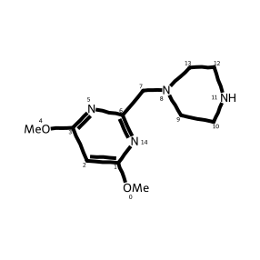 COc1cc(OC)nc(CN2CCNCC2)n1